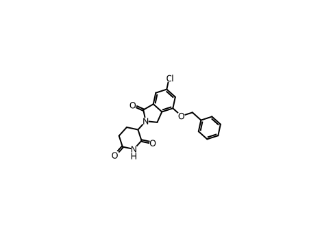 O=C1CCC(N2Cc3c(OCc4ccccc4)cc(Cl)cc3C2=O)C(=O)N1